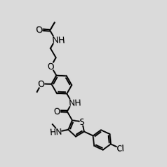 CNc1cc(-c2ccc(Cl)cc2)sc1C(=O)Nc1ccc(OCCNC(C)=O)c(OC)c1